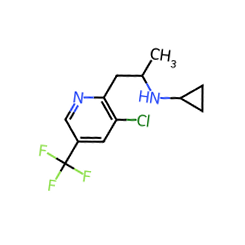 CC(Cc1ncc(C(F)(F)F)cc1Cl)NC1CC1